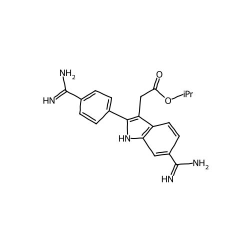 CC(C)OC(=O)Cc1c(-c2ccc(C(=N)N)cc2)[nH]c2cc(C(=N)N)ccc12